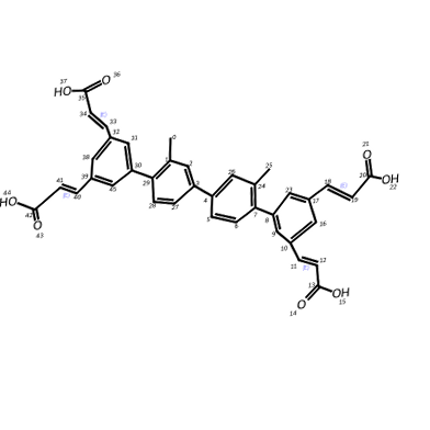 Cc1cc(-c2ccc(-c3cc(/C=C/C(=O)O)cc(/C=C/C(=O)O)c3)c(C)c2)ccc1-c1cc(/C=C/C(=O)O)cc(/C=C/C(=O)O)c1